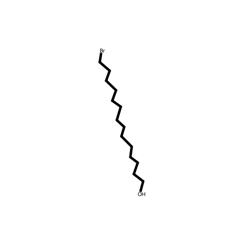 OCCCCCCCCCCCCCCBr